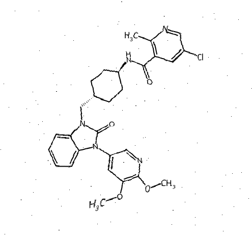 COc1cc(-n2c(=O)n(C[C@H]3CC[C@H](NC(=O)c4cc(Cl)cnc4C)CC3)c3ccccc32)cnc1OC